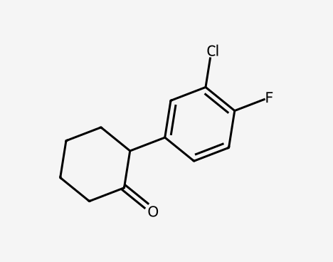 O=C1CCCCC1c1ccc(F)c(Cl)c1